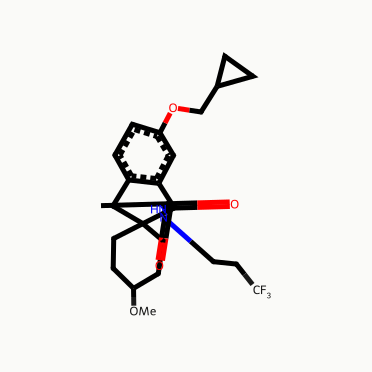 COC1CCC2(CC1)Cc1ccc(OCC3CC3)cc1C21NC(=O)N(CCC(F)(F)F)C1=O